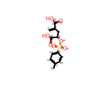 C=C(CC(OS(=O)(=O)c1ccc(C)cc1)C(=O)O)C(=O)O